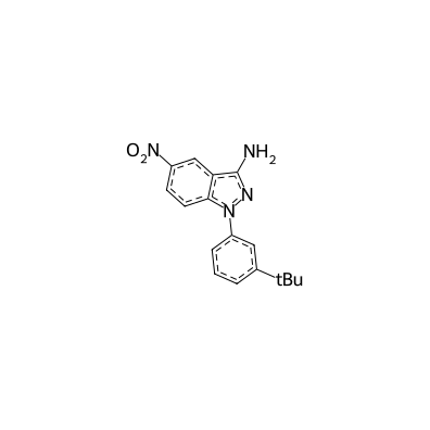 CC(C)(C)c1cccc(-n2nc(N)c3cc([N+](=O)[O-])ccc32)c1